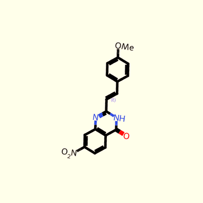 COc1ccc(/C=C/c2nc3cc([N+](=O)[O-])ccc3c(=O)[nH]2)cc1